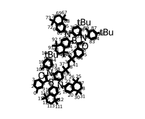 Cc1ccc2oc3c(c2c1)B1c2cc4c(cc2N(c2ccc5c(c2)C(C)(C)CCC5(C)C)c2cc(C(C)(C)CCC(C)(C)c5ccc6oc7c(c6c5)B5c6cc8c(cc6N(c6ccc9c(c6)C(C)(C)CCC9(C)C)c6cc(C(C)(C)C)cc(c65)N7c5ccc(C(C)(C)C)cc5C)C(C)(C)CCC8(C)C)cc(c21)N3c1ccc(C(C)(C)C)cc1C)C(C)(C)CCC4(C)C